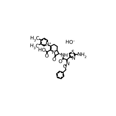 Cc1cc[n+](C2=C(C(=O)O)N3C(=O)[C@H](NC(=O)/C(=N\OCc4ccccc4)c4csc(N)n4)C3CC2)cc1C.[OH-]